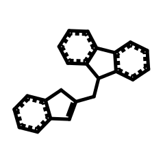 C1=C(CC2c3ccccc3-c3ccccc32)Cc2ccccc21